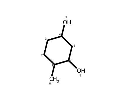 [CH2]C1CCC(O)CC1O